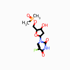 CP(C)(=O)OCC1OC(n2cc(F)c(=O)[nH]c2=O)CC1O